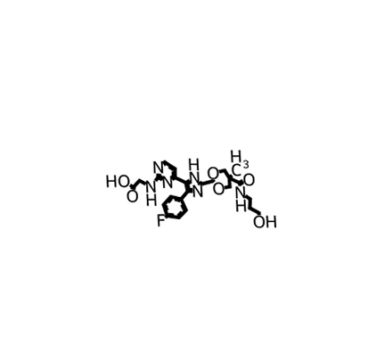 CC1(C(=O)NCCCO)COC(c2nc(-c3ccc(F)cc3)c(-c3ccnc(NCC(=O)O)n3)[nH]2)OC1